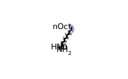 CCCCCCCC/C=C\CCCCCCCC(=O)NN